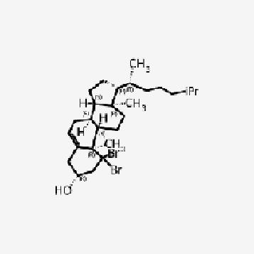 CC(C)CCC[C@@H](C)[C@H]1CC[C@H]2[C@@H]3CC=C4C[C@@H](O)CC(Br)(Br)[C@]4(C)[C@H]3CC[C@]12C